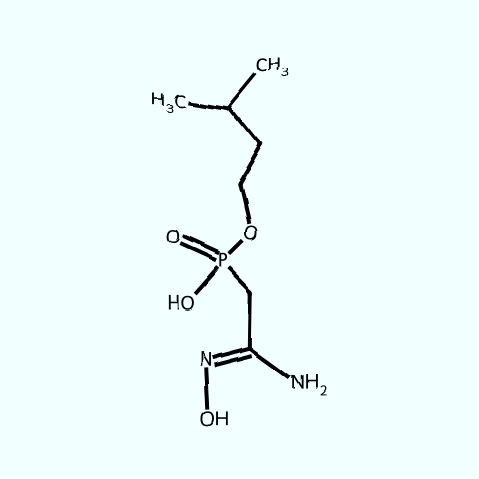 CC(C)CCOP(=O)(O)CC(N)=NO